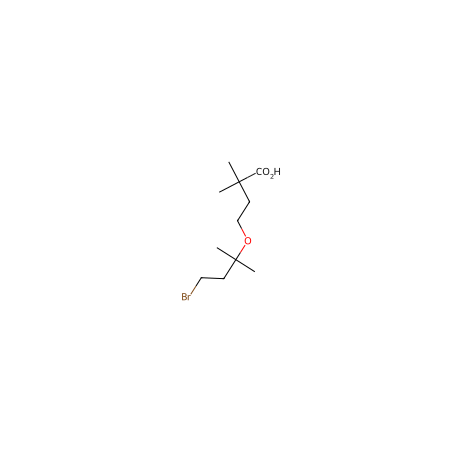 CC(C)(CCBr)OCCC(C)(C)C(=O)O